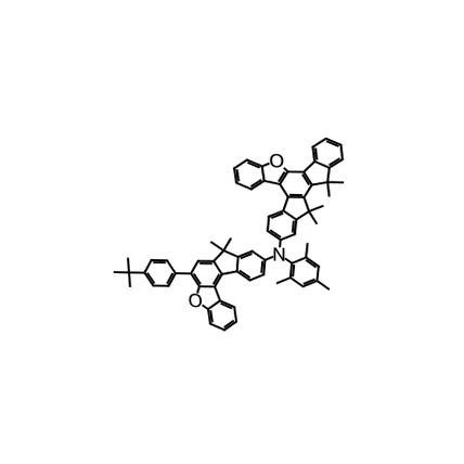 Cc1cc(C)c(N(c2ccc3c(c2)C(C)(C)c2cc(-c4ccc(C(C)(C)C)cc4)c4oc5ccccc5c4c2-3)c2ccc3c(c2)C(C)(C)c2c4c(c5oc6ccccc6c5c2-3)-c2ccccc2C4(C)C)c(C)c1